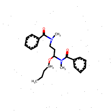 CCC[SiH2]OC(CCN(C)C(=O)c1ccccc1)N(C)C(=O)c1ccccc1